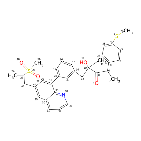 CSc1ccc(C(C)C(=O)C(C)(O)Cc2cccc(-c3cc(CC(C)S(C)(=O)=O)cc4cccnc34)c2)cc1